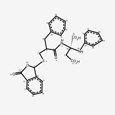 O=C(O)C[C@@](NC(=O)C(CSC1OC(=O)c2ccccc21)Cc1ccccc1)(Nc1ccccc1)C(=O)O